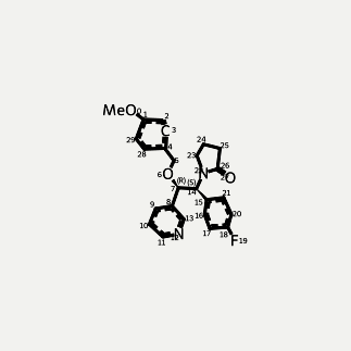 COc1ccc(CO[C@H](c2cccnc2)[C@H](c2ccc(F)cc2)N2CCCC2=O)cc1